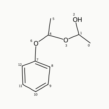 CC(O)OC(C)Oc1ccccc1